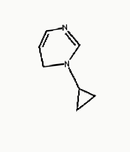 C1=CN=CN(C2CC2)C1